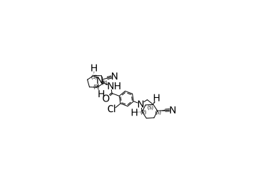 N#C[C@H]1CC[C@@H]2C[C@@H]1CN2c1ccc(C(=O)N[C@@H]2C[C@@H]3CC[C@H]2N3C#N)c(Cl)c1